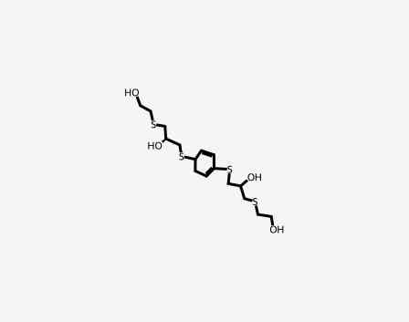 OCCSCC(O)CSC1=CCC(SC[C@@H](O)CSCCO)C=C1